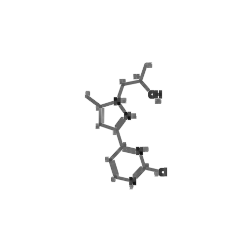 Cc1cc(-c2ccnc(Cl)n2)nn1CC(C)O